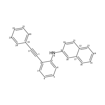 C(#Cc1ccccc1Nc1ccc2ccccc2c1)c1ccccc1